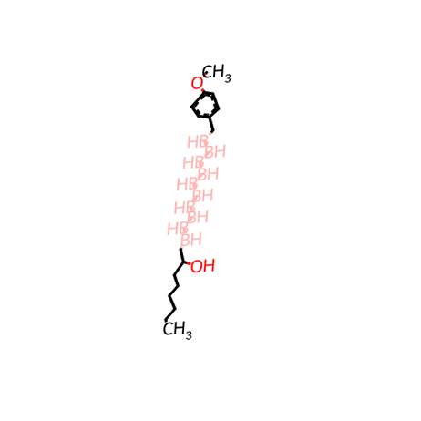 CCCCCCC(O)CBBBBBBBBBBCc1ccc(OC)cc1